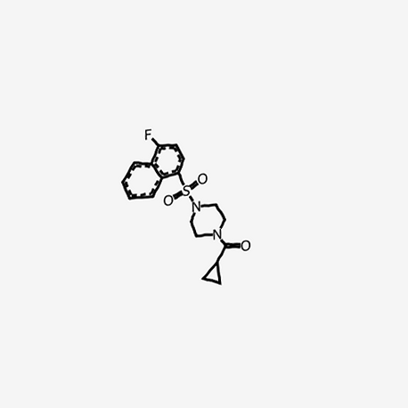 O=C(C1CC1)N1CCN(S(=O)(=O)c2ccc(F)c3ccccc23)CC1